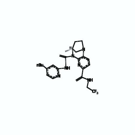 C=C(NCC(F)(F)F)c1ccc2c(n1)N(C(=C)Nc1cc(CCCC)ccn1)[C@@]1(C)CCN2C1